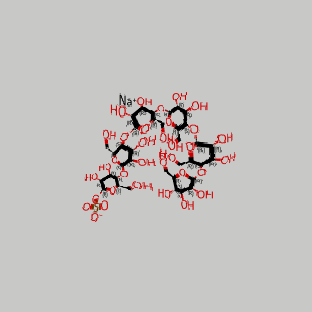 O=S(=O)([O-])O[C@H]1O[C@H](CO)[C@@H](O[C@H]2O[C@H](CO)[C@@H](O[C@H]3O[C@H](CO)[C@@H](O[C@H]4O[C@H](CO)[C@@H](O[C@H]5O[C@H](CO)[C@@H](O[C@H]6O[C@H](CO)[C@@H](O)[C@H](O)[C@H]6O)[C@H](O)[C@H]5O)[C@H](O)[C@H]4O)[C@H](O)[C@H]3O)[C@H](O)[C@H]2O)[C@H](O)[C@H]1O.[Na+]